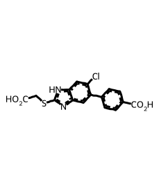 O=C(O)CSc1nc2cc(-c3ccc(C(=O)O)cc3)c(Cl)cc2[nH]1